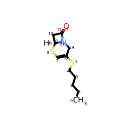 CCCCCSC1=CS[C@H]2CC(=O)N2C1